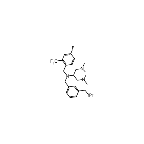 CC(C)Cc1cccc(CN(Cc2ccc(F)cc2C(F)(F)F)C(CN(C)C)CN(C)C)c1